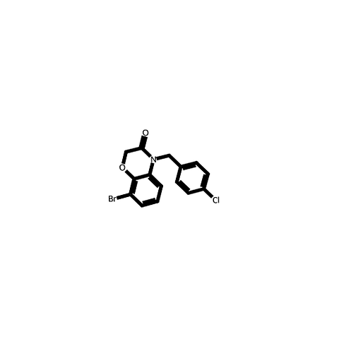 O=C1COc2c(Br)cccc2N1Cc1ccc(Cl)cc1